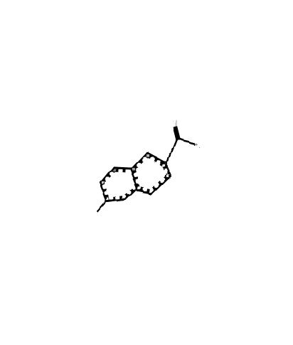 Cl.N=C(N)c1ccc2cc(O)ccc2c1